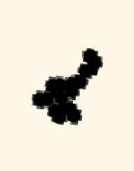 CC1(C)c2cc(-c3cc(C(c4ccc5ccccc5c4)c4cccc5ccccc45)cc(N(c4ccc5ccccc5c4)c4cccc5ccccc45)c3)ccc2-c2ccc(-c3ccc4c(c3)sc3ccc5ccccc5c34)cc21